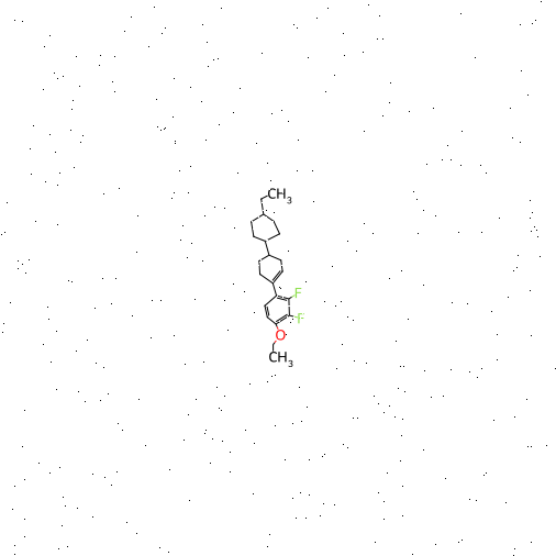 CCOc1ccc(C2=CCC(C3CCC(CC)CC3)CC2)c(F)c1F